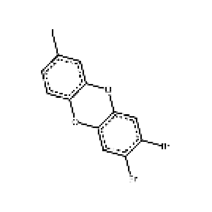 Brc1cc2c(cc1Br)Oc1cc(I)ccc1O2